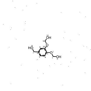 OCOc1ccc(CO)cc1OCO